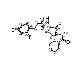 C[C@@H](C(=O)N1CCOCC1)N1CC[C@H](NS(=O)(=O)CCc2ccc(Cl)cc2F)C1=O